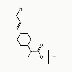 CN(C(=O)OC(C)(C)C)[C@H]1CC[C@H](/C=C/CCl)CC1